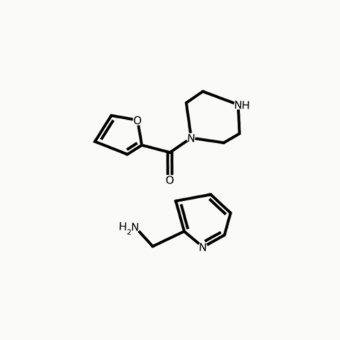 NCc1ccccn1.O=C(c1ccco1)N1CCNCC1